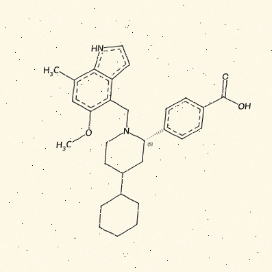 COc1cc(C)c2[nH]ccc2c1CN1CCC(C2CCCCC2)C[C@H]1c1ccc(C(=O)O)cc1